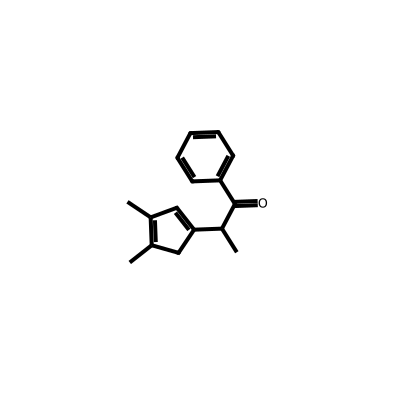 CC1=C(C)CC(C(C)C(=O)c2ccccc2)=C1